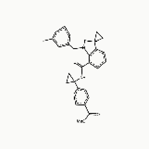 COC(=O)c1ccc(C2(NC(=O)c3cccc4c3N(Cc3cccc(F)c3)CC43CC3)CC2)cc1